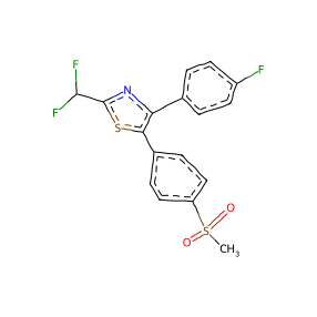 CS(=O)(=O)c1ccc(-c2sc(C(F)F)nc2-c2ccc(F)cc2)cc1